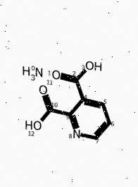 N.O=C(O)c1cccnc1C(=O)O